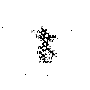 CO[C@@H]1[C@@H](O)[C@@H](OC)[C@@H](NC2=C/C(=N\CCCO)c3c(cc4c(c3O)C(=O)C3(OC)C(O)Cc5cc(C)c(C(=O)O)c(O)c5C3(O)C4=O)C2=O)O[C@H]1C